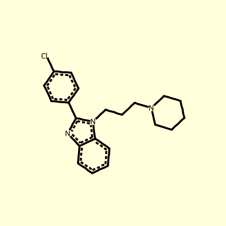 Clc1ccc(-c2nc3ccccc3n2CCCN2CCCCC2)cc1